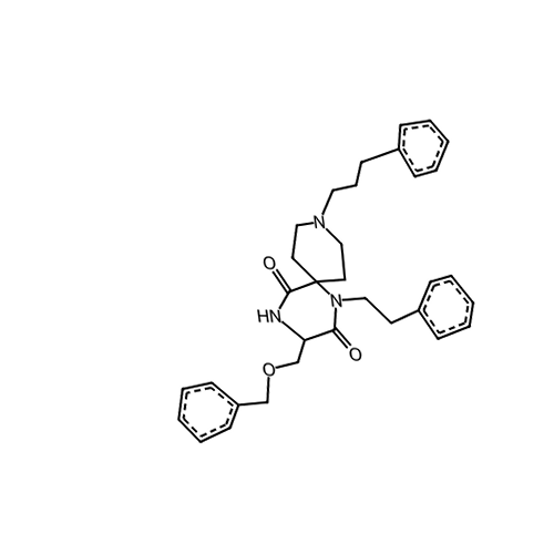 O=C1C(COCc2ccccc2)NC(=O)C2(CCN(CCCc3ccccc3)CC2)N1CCc1ccccc1